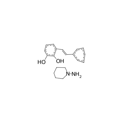 NN1CCCCC1.Oc1cccc(C=Cc2ccccc2)c1O